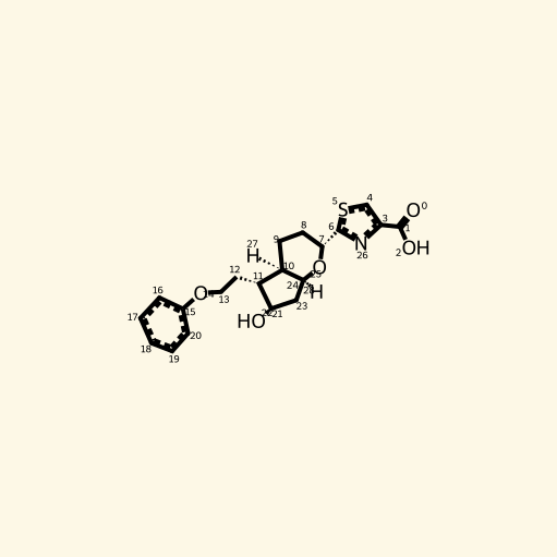 O=C(O)c1csc([C@H]2CC[C@@H]3[C@@H](CCOc4ccccc4)[C@H](O)C[C@@H]3O2)n1